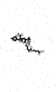 CNC(=O)c1c(-c2ccc(C)cc2)oc2nc(N(CCC[C@H](C)C(=O)NCCCC(=O)O)S(C)(=O)=O)c(C3CC3)cc12